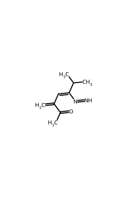 C=C(/C=C(\N=N)C(C)C)C(C)=O